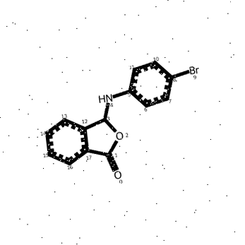 O=C1OC(Nc2ccc(Br)cc2)c2ccccc21